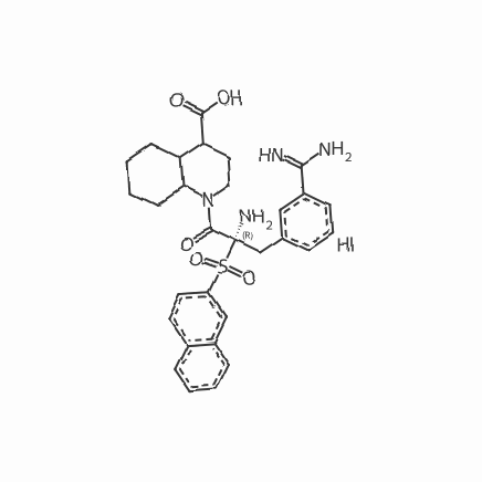 I.N=C(N)c1cccc(C[C@](N)(C(=O)N2CCC(C(=O)O)C3CCCCC32)S(=O)(=O)c2ccc3ccccc3c2)c1